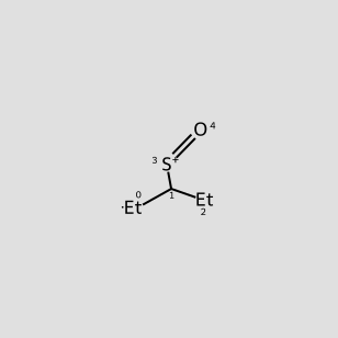 C[CH]C(CC)[S+]=O